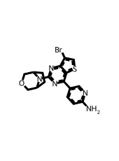 Nc1ccc(-c2nc(N3C4CCC3COC4)nc3c(Br)csc23)cn1